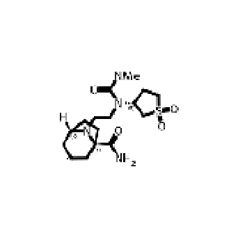 CNC(=O)N(CCN1[C@@H]2C[CH]C[C@@]1(C(N)=O)CC2)[C@@H]1CCS(=O)(=O)C1